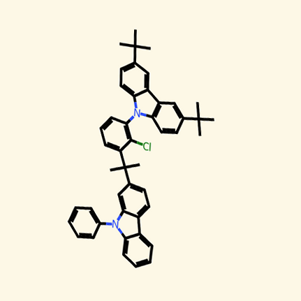 CC(C)(C)c1ccc2c(c1)c1cc(C(C)(C)C)ccc1n2-c1cccc(C(C)(C)c2ccc3c4ccccc4n(-c4ccccc4)c3c2)c1Cl